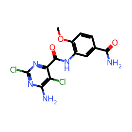 COc1ccc(C(N)=O)cc1NC(=O)c1nc(Cl)nc(N)c1Cl